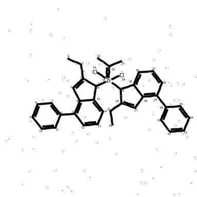 CCC1=Cc2c(-c3ccccc3)cccc2[CH]1[Zr]([Cl])([Cl])(=[C](C)C)[CH]1C(CC)=Cc2c(-c3ccccc3)cccc21